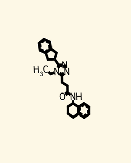 CCn1c(CCC(=O)NC2CCCc3ccccc32)nnc1C1Cc2ccccc2C1